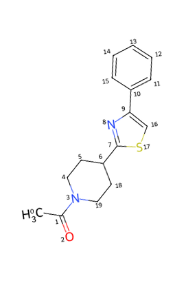 CC(=O)N1CCC(c2nc(-c3ccccc3)cs2)CC1